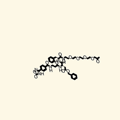 CC(=O)COCCOCCOCCOCCNC(=O)[C@H](Cc1ccccc1)NC(=O)[C@H](CC(=O)OCc1ccccc1)NC(=O)CCNC(=O)c1ccc(-c2noc(=O)[nH]2)cc1